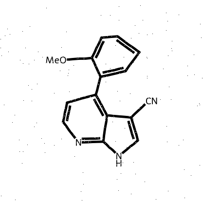 COc1ccccc1-c1ccnc2[nH]cc(C#N)c12